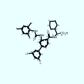 Cc1cc(C)c(NC(=O)Nc2cc(-c3cc(F)cc(F)c3)ccc2C(=O)N[C@H](C(=O)O)C2CCCCC2)c(C)c1